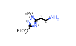 CCCn1nc(C(=O)OCC)nc1CCN